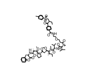 CCC(CS(=O)(=O)c1ccc(C)cc1)C(=O)c1ccc(C(=O)NCCOCCC(=O)N(C)[C@H](C(=O)N[C@H](C(=O)N(C)[C@@H]([C@@H](C)CC)[C@@H](CC(=O)N2CCC[C@H]2[C@H](OC)[C@@H](C)C(=O)N[C@@H](Cc2ccccc2)C(=O)O)OC)C(C)C)C(C)C)cc1